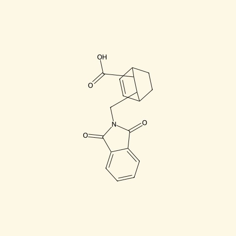 O=C(O)C1C2C=CC(CC2)C1CN1C(=O)c2ccccc2C1=O